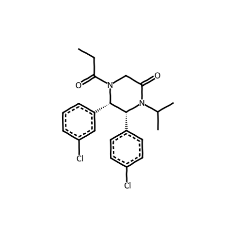 CCC(=O)N1CC(=O)N(C(C)C)[C@H](c2ccc(Cl)cc2)[C@@H]1c1cccc(Cl)c1